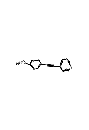 COc1ccc(C#Cc2ccncc2)cc1